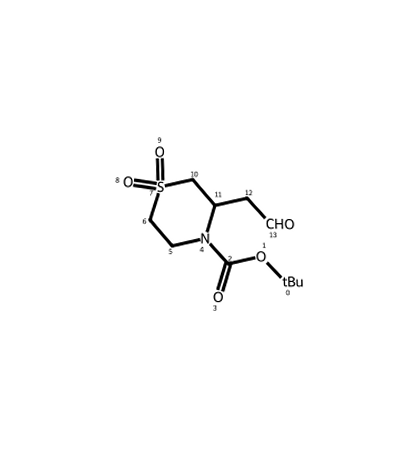 CC(C)(C)OC(=O)N1CCS(=O)(=O)CC1CC=O